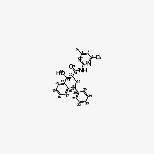 Cc1cc(Cl)nc(NC(=O)C2=C(O)c3ccccc3N(c3ccccc3)C2)n1